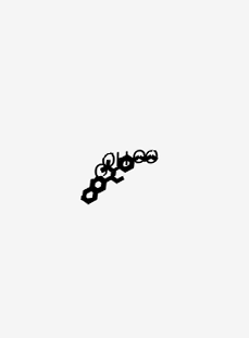 CC/C(=C(/C(=O)O)c1ccc(OCOC)cc1)c1ccc2ccccc2c1